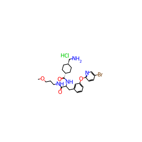 COCCCNC(=O)C(Cc1cccc(Oc2ccc(Br)cn2)c1)NC(=O)[C@H]1CC[C@H](CN)CC1.Cl